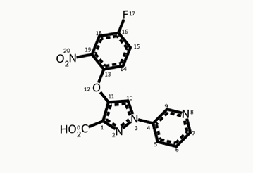 O=C(O)c1nn(-c2cccnc2)cc1Oc1ccc(F)cc1[N+](=O)[O-]